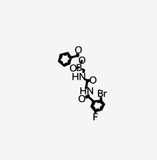 O=C(CNC(=O)c1cc(F)ccc1Br)NCB1OC(=O)c2ccccc2O1